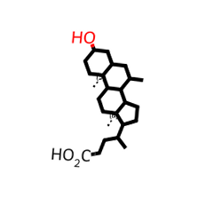 CC1CC2CC(O)CC[C@]2(C)C2CC[C@]3(C)C(C(C)CCC(=O)O)CCC3C12